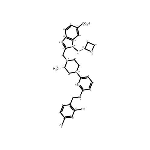 CC(=O)c1ccc(COc2cccc(N3CCN(Cc4nc5ccc(C(=O)O)cc5n4C[C@@H]4CCO4)[C@@H](C)C3)n2)c(F)c1